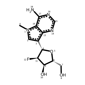 Cn1cc([C@@H]2O[C@H](CO)[C@@H](O)[C@H]2F)c2ncnc(N)c21